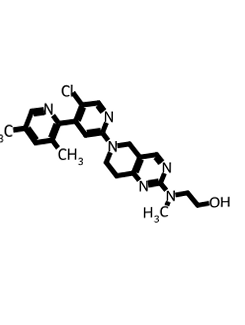 Cc1cnc(-c2cc(N3CCc4nc(N(C)CCO)ncc4C3)ncc2Cl)c(C)c1